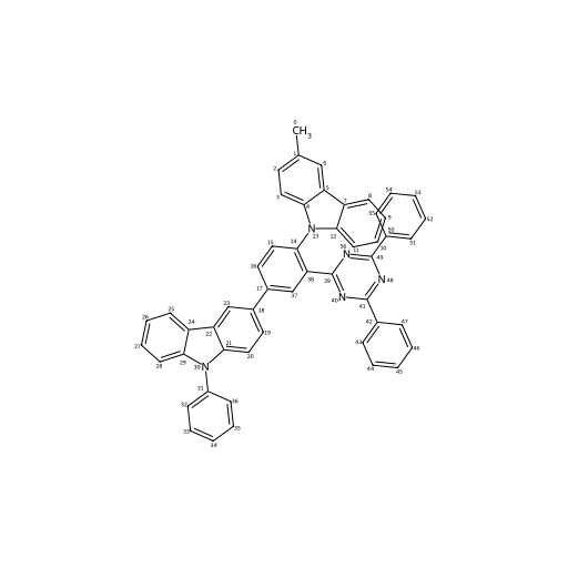 Cc1ccc2c(c1)c1ccccc1n2-c1ccc(-c2ccc3c(c2)c2ccccc2n3-c2ccccc2)cc1-c1nc(-c2ccccc2)nc(-c2ccccc2)n1